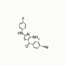 N#Cc1ccc(C(=O)c2sc(Nc3ccc(F)cc3)nc2N)cc1